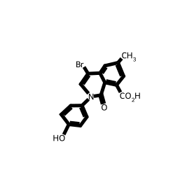 Cc1cc(C(=O)O)c2c(=O)n(-c3ccc(O)cc3)cc(Br)c2c1